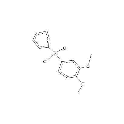 COc1ccc([Si](Cl)(Cl)c2ccccc2)cc1OC